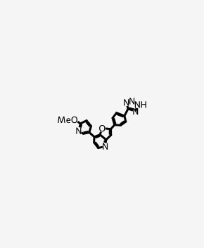 COc1ccc(-c2ccnc3cc(-c4ccc(-c5nn[nH]n5)cc4)oc23)cn1